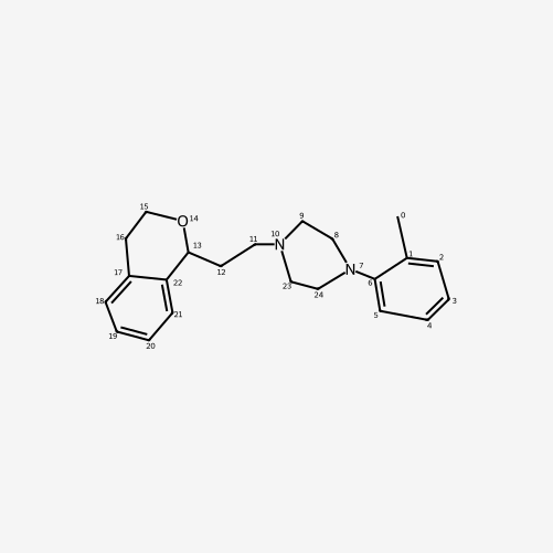 Cc1ccccc1N1CCN(CCC2OCCc3ccccc32)CC1